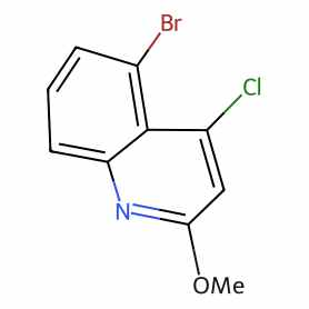 COc1cc(Cl)c2c(Br)cccc2n1